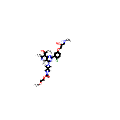 CNC[C@@H](O)COc1ccc(Cl)c(-c2nc(/C(C(C)=N)=C(\C)O)c(C)c(N3CC4(CN(C(=O)OCCOC)C4)C3)n2)c1